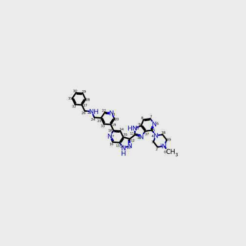 CN1CCN(c2nccc3[nH]c(-c4n[nH]c5cnc(-c6cncc(CNCc7ccccc7)c6)cc45)nc23)CC1